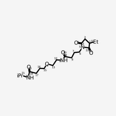 CCC1CC(=O)N(CCCC(=O)NCCOCCCC(=O)NC(C)C)C1=O